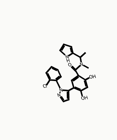 CC(c1ccc[nH]1)N(C)C(=O)c1cc(-c2ccnn2-c2ccccc2Cl)c(O)cc1O